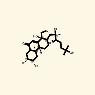 CC(C)(O)CCC(O)[C@](C)(O)[C@H]1CC[C@@]2(O)C3=CC(=O)C4C[C@@H](O)[C@@H](O)C[C@]4(C)[C@H]3CC[C@]12C